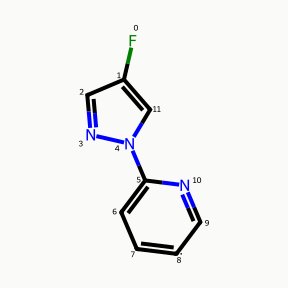 Fc1cnn(-c2cc[c]cn2)c1